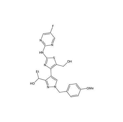 CCC(O)c1nn(Cc2ccc(OC)cc2)cc1-c1nc(Nc2ncc(F)cn2)sc1CO